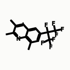 Cc1[c]c2cc(C(F)(C(F)(F)F)C(F)(F)F)cc(C)c2nc1C